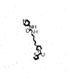 O=C(NCCCCC[C@H]1CCN(C(=O)c2cccs2)C1)Nc1ccncc1